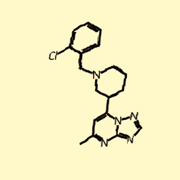 Cc1cc(C2CCCN(Cc3ccccc3Cl)C2)n2ncnc2n1